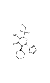 N#Cc1c(C(F)(F)CF)cc(-c2nccs2)n(N2CCCCC2)c1=O